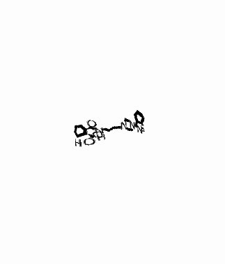 O=C(O)[C@H]1CCCC[C@H]1C(=O)NCCCCN1CCN(c2nsc3ccccc23)CC1